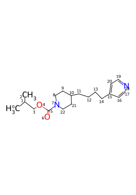 CC(C)COC(=O)N1CCC(CCCCc2ccncc2)CC1